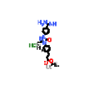 CCC(CC)OC(=O)CCc1ccc(-n2c(C)nn(-c3ccc(C(=N)N)cc3)c2=O)cc1.Cl